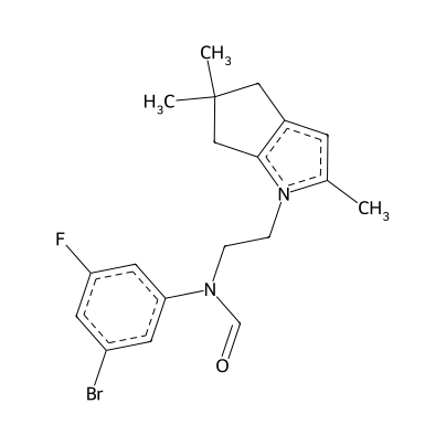 Cc1cc2c(n1CCN(C=O)c1cc(F)cc(Br)c1)CC(C)(C)C2